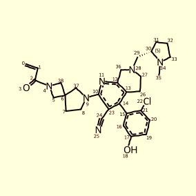 C=CC(=O)N1CC2(CCN(c3nc4c(c(-c5cc(O)ccc5Cl)c3C#N)CCN(C[C@@H]3CCCN3C)C4)C2)C1